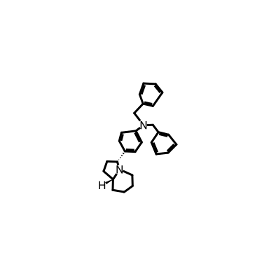 c1ccc(CN(Cc2ccccc2)c2ccc([C@H]3CC[C@H]4CCCCN43)cc2)cc1